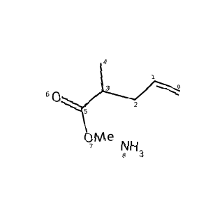 C=CCC(C)C(=O)OC.N